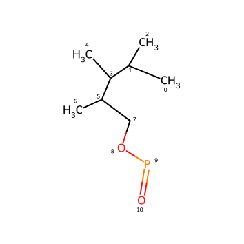 CC(C)C(C)C(C)COP=O